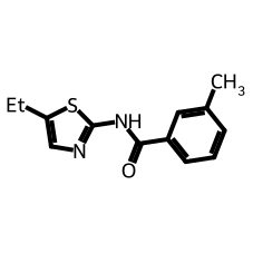 CCc1cnc(NC(=O)c2cccc(C)c2)s1